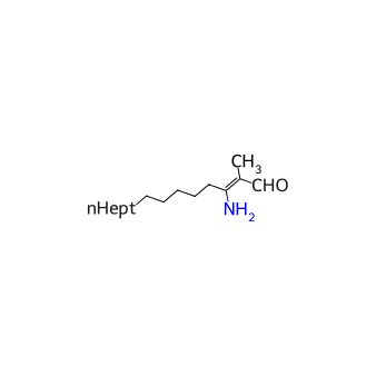 CCCCCCCCCCCCC(N)=C(C)C=O